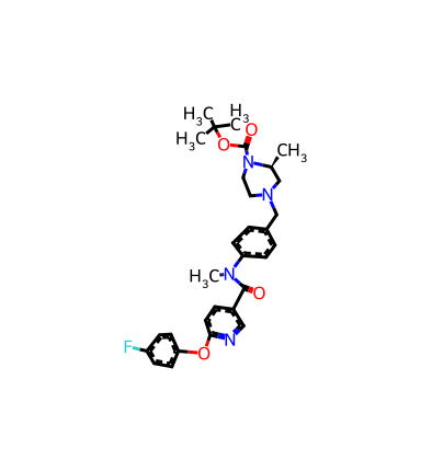 C[C@H]1CN(Cc2ccc(N(C)C(=O)c3ccc(Oc4ccc(F)cc4)nc3)cc2)CCN1C(=O)OC(C)(C)C